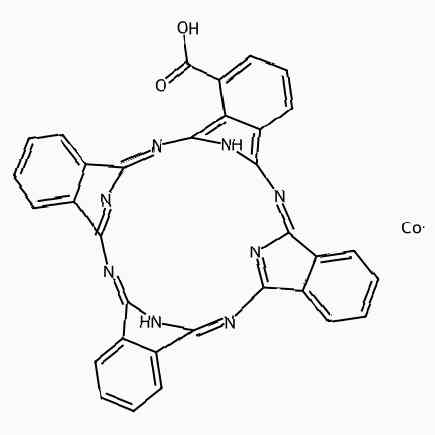 O=C(O)c1cccc2c3nc4nc(nc5[nH]c(nc6nc(nc([nH]3)c12)-c1ccccc1-6)c1ccccc51)-c1ccccc1-4.[Co]